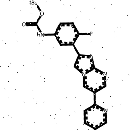 CC(C)(C)OC(=O)Nc1ccc(F)c(-c2cn3cc(-c4ccccn4)cnc3n2)c1